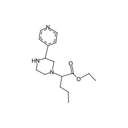 CCCC(C(=O)OCC)N1CCNC(c2ccncc2)C1